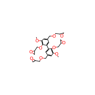 COc1cc(COCC2CO2)cc(-c2cc(COCC3CO3)cc(OC)c2OCC2CO2)c1OCC1CO1